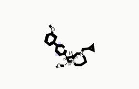 C=C(/C=C\C(=C/C)c1cccc(OC)c1)[C@@H]1[C@@H](COC)N2CCCCN(CC3CC3)C[C@@H]12